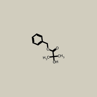 CC(C)(O)C(=O)OCc1ccccc1